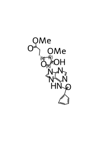 COC(=O)CC[C@H]1O[C@@H](n2cnc3c(NC(=O)c4ccccc4)ncnc32)[C@H](O)[C@H]1OC